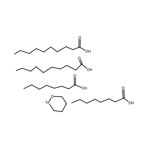 C1CC[Te]OC1.CCCCCCCC(=O)O.CCCCCCCC(=O)O.CCCCCCCCCC(=O)O.CCCCCCCCCC(=O)O